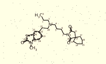 CCCN(CCCCN1C(=O)CC2(CCCCC2)C1=O)CCc1ccc2c(c1)sc(=O)n2C